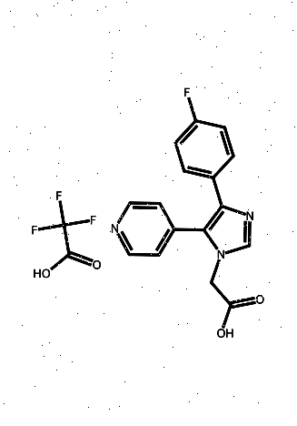 O=C(O)C(F)(F)F.O=C(O)Cn1cnc(-c2ccc(F)cc2)c1-c1ccncc1